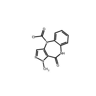 Cn1ncc2c1C(=O)Nc1ccccc1N2C(=O)Cl